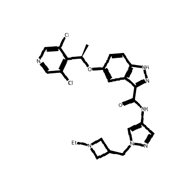 CCN1CC(Cn2cc(NC(=O)c3n[nH]c4ccc(O[C@H](C)c5c(Cl)cncc5Cl)cc34)cn2)C1